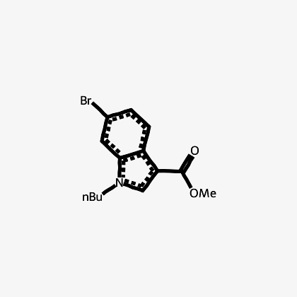 CCCCn1cc(C(=O)OC)c2ccc(Br)cc21